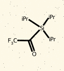 CC(C)[Si](C(=O)C(F)(F)F)(C(C)C)C(C)C